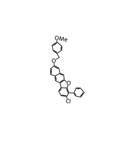 COc1ccc(COc2ccc3cc4c(cc3c2)oc2c(-c3ccccc3)c(Cl)ccc24)cc1